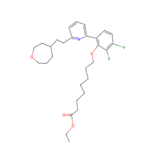 CCOC(=O)CCCCCCCOc1c(-c2cccc(CCC3CCCOCC3)n2)ccc(F)c1F